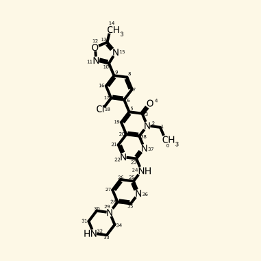 CCn1c(=O)c(-c2ccc(-c3noc(C)n3)cc2Cl)cc2cnc(Nc3ccc(N4CCNCC4)cn3)nc21